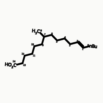 CCCCC=CCCCCC(C)CCCCCC(=O)O